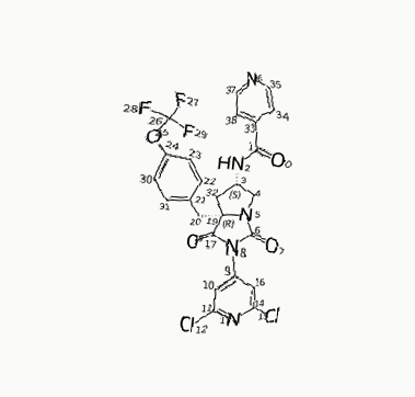 O=C(N[C@@H]1CN2C(=O)N(c3cc(Cl)nc(Cl)c3)C(=O)[C@@]2(Cc2ccc(OC(F)(F)F)cc2)C1)c1ccncc1